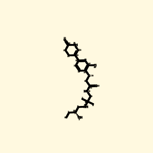 CC[C@@H](O)CNC(C)(C)CNC(=O)COc1ccc(C2=NNC(=O)CC2)cc1Cl